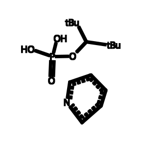 CC(C)(C)C(OP(=O)(O)O)C(C)(C)C.c1ccncc1